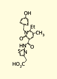 CCc1c(C)cc(C(=O)Nc2nc(CC(=O)O)cs2)c(=O)n1Cc1ccc(O)cc1